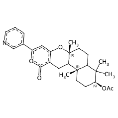 CC(=O)O[C@H]1CC[C@@]2(C)C(CC[C@@]3(C)Oc4cc(-c5cccnc5)oc(=O)c4CC23)C1(C)C